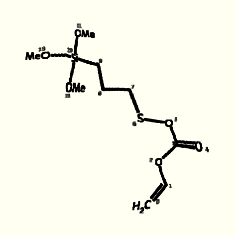 C=COC(=O)OSCCC[Si](OC)(OC)OC